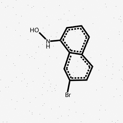 ONc1cccc2ccc(Br)cc12